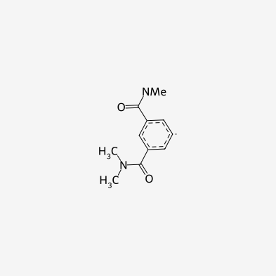 CNC(=O)c1c[c]cc(C(=O)N(C)C)c1